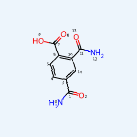 NC(=O)c1ccc(C(=O)O)c(C(N)=O)c1